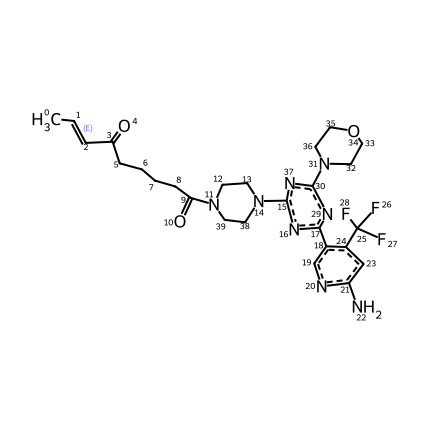 C/C=C/C(=O)CCCCC(=O)N1CCN(c2nc(-c3cnc(N)cc3C(F)(F)F)nc(N3CCOCC3)n2)CC1